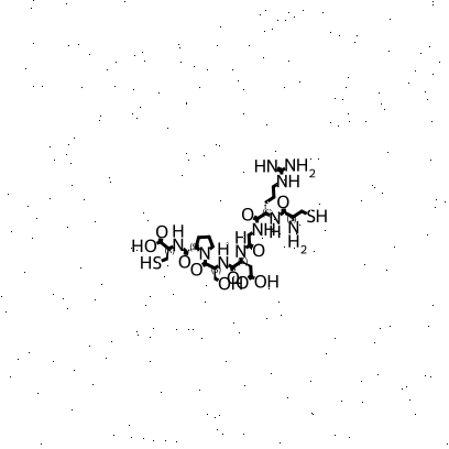 N=C(N)NCCC[C@H](NC(=O)[C@H](N)CS)C(=O)NCC(=O)N[C@@H](CC(=O)O)C(=O)N[C@@H](CO)C(=O)N1CCC[C@H]1C(=O)N[C@@H](CS)C(=O)O